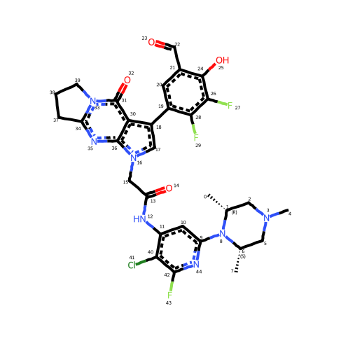 C[C@@H]1CN(C)C[C@H](C)N1c1cc(NC(=O)Cn2cc(-c3cc(C=O)c(O)c(F)c3F)c3c(=O)n4c(nc32)CCC4)c(Cl)c(F)n1